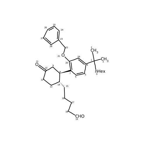 CCCCCCC(C)(C)c1ccc([C@@H]2CC(=O)CC[C@H]2CCCCC=O)c(OCc2ccccc2)c1